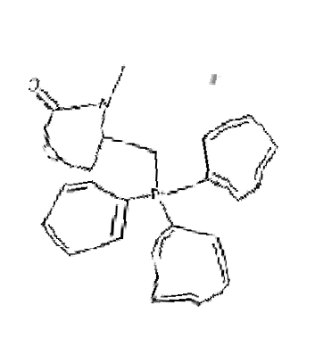 CN1C(=O)OCC1C[P+](c1ccccc1)(c1ccccc1)c1ccccc1.[I-]